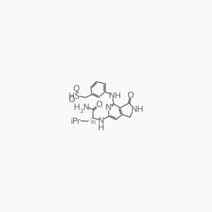 CC(C)C[C@@H](Nc1cc2c(c(Nc3cccc(C[SH](=O)=O)c3)n1)C(=O)NC2)C(N)=O